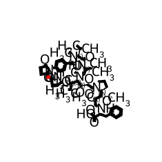 CC[C@H](C)[C@@H]([C@@H](CC(=O)N1CCC[C@H]1[C@H](OC)[C@@H](C)C(=O)NC(Cc1ccccc1)C(=O)O)OC)N(C)C(=O)[C@@H](NC(=O)[C@H](C(C)C)N(C)C(=O)c1ccc(N2C(=O)C=CC2=O)c(N2C(=O)C=CC2=O)c1)C(C)C